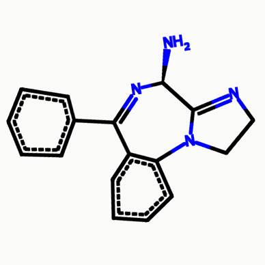 N[C@@H]1N=C(c2ccccc2)c2ccccc2N2CCN=C12